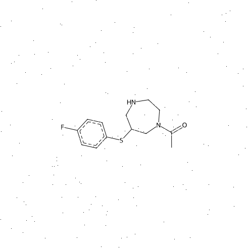 CC(=O)N1CCNCC(Sc2ccc(F)cc2)C1